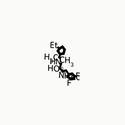 CCc1cccc(C(C)(C)NC[C@@H](O)[C@H](Cc2cc(F)cc(F)c2)NC(C)=O)c1